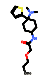 COCCOCC(=O)NC1CCC(c2cccs2)(N(C)C)CC1